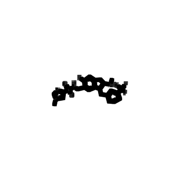 CNC1Cc2cc(F)c(CNS(=O)(=O)c3cn(C)cn3)cc2C1Cc1cccc(C(F)(F)F)c1